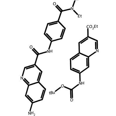 CCN(CC)C(=O)c1ccc(NC(=O)c2cnc3cc(N)ccc3c2)cc1.CCOC(=O)c1cnc2cc(NC(=O)OC(C)(C)C)ccc2c1